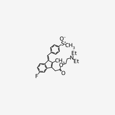 CCN(CC)CCOC(=O)CC1=C(C)C(=Cc2ccc([S+](C)[O-])cc2)c2ccc(F)cc21